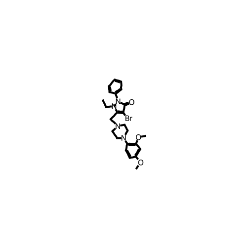 CCn1c(CN2CCN(c3ccc(OC)cc3OC)CC2)c(Br)c(=O)n1-c1ccccc1